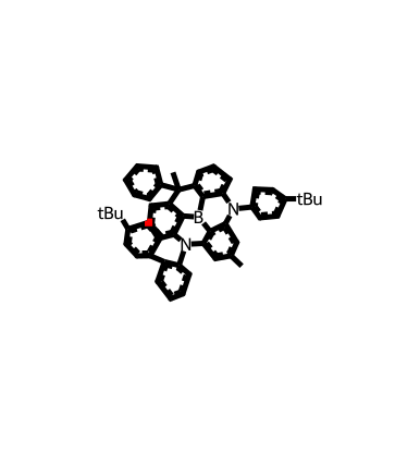 Cc1cc2c3c(c1)N(c1ccccc1-c1ccc(C(C)(C)C)cc1)c1cccc4c1B3c1c(cccc1C4(C)c1ccccc1)N2c1ccc(C(C)(C)C)cc1